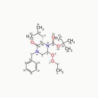 CCOOC1CN(Cc2ccccc2)C(=O)[C@H](CC(C)C)N1C(=O)OC(C)(C)C